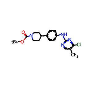 CC(C)(C)OC(=O)N1CCC(c2ccc(Nc3ncc(C(F)(F)F)c(Cl)n3)cc2)CC1